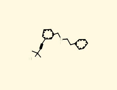 CC(C)(O)C#Cc1cccc(CNCCc2ccccc2)c1